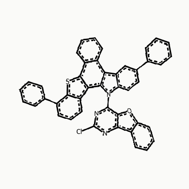 Clc1nc(-n2c3ccc(-c4ccccc4)cc3c3c4ccccc4c4sc5c(-c6ccccc6)cccc5c4c32)c2oc3ccccc3c2n1